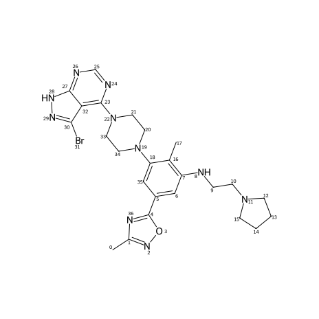 Cc1noc(-c2cc(NCCN3CCCC3)c(C)c(N3CCN(c4ncnc5[nH]nc(Br)c45)CC3)c2)n1